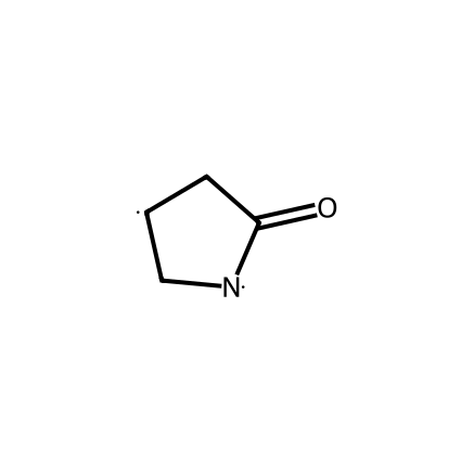 O=C1C[CH]C[N]1